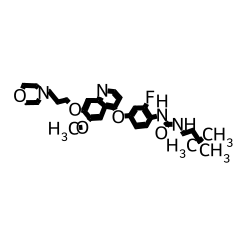 COc1cc2c(Oc3ccc(NC(=O)NCCC(C)(C)C)c(F)c3)ccnc2cc1OCCCN1CCOCC1